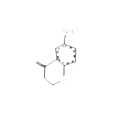 CC(=O)Nc1ccc2c(c1)C(=O)CCO2